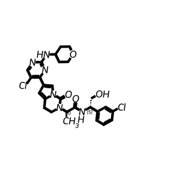 C[C@H](C(=O)N[C@H](CO)c1cccc(Cl)c1)N1CCc2cc(-c3nc(NC4CCOCC4)ncc3Cl)cn2C1=O